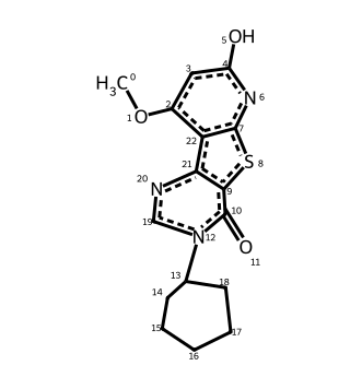 COc1cc(O)nc2sc3c(=O)n(C4CCCCC4)cnc3c12